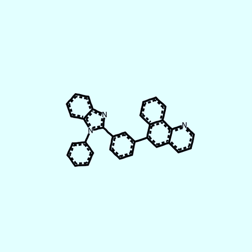 c1ccc(-n2c(-c3cccc(-c4cc5cccnc5c5ccccc45)c3)nc3ccccc32)cc1